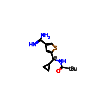 CC(C)(C)C(=O)N[C@H](c1cc(C(=N)N)cs1)C1CC1